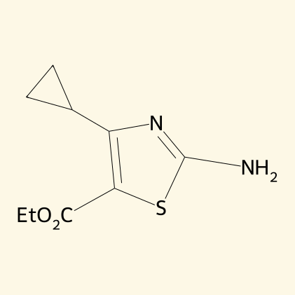 CCOC(=O)c1sc(N)nc1C1CC1